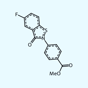 COC(=O)c1ccc(-n2sc3ccc(F)cc3c2=O)cc1